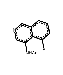 CC(=O)Nc1cncc2cccc(C(C)=O)c12